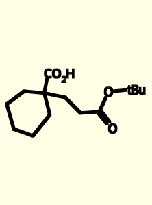 CC(C)(C)OC(=O)CCC1(C(=O)O)CCCCC1